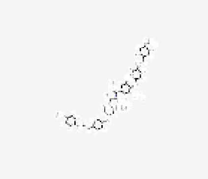 Br.C/C(C(=O)N1CCN(Cc2ccc(CCOc3ccc(C(C)C)cc3)cc2)CC1)=C(/C)c1cc(C)c(Oc2ccc(OCc3ccc(C)cc3)cn2)c(Cl)c1